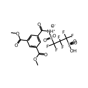 COC(=O)c1cc(C(=O)OC)cc(C(=O)[NH+]([O-])S(=O)(=O)C(F)(F)C(F)(F)C(F)(F)S(=O)(=O)O)c1